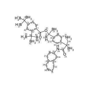 BC(B)(B)c1ccc(C(=O)OC(B)(B)c2ccc(C(B)(CN)C(=O)Nc3ccc4cnccc4c3)cc2)c(C(B)(B)B)c1